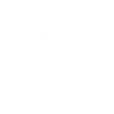 COc1c(Cl)cc(Cl)c(C(=O)Nc2scc(-c3cccc(I)c3)c2C(=O)O)c1Cl